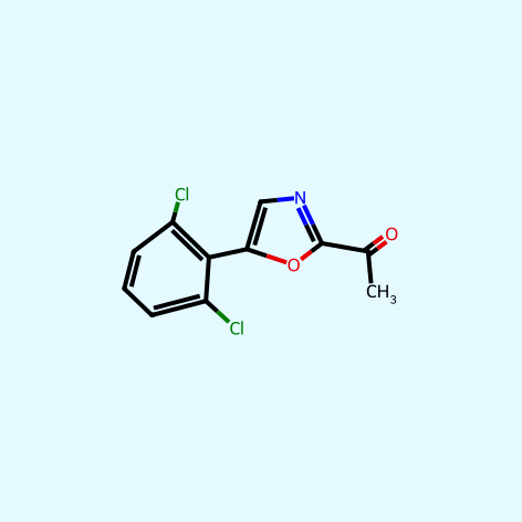 CC(=O)c1ncc(-c2c(Cl)cccc2Cl)o1